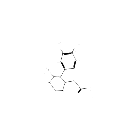 COC(=O)CC1CCCC(N)C1c1ccc(F)c(F)c1